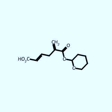 C=C(CC=CC(=O)O)C(=O)OC1CCCCO1